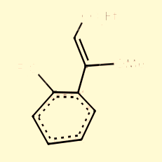 CCOC(=O)C=C(OC)c1ccccc1C(F)(F)F